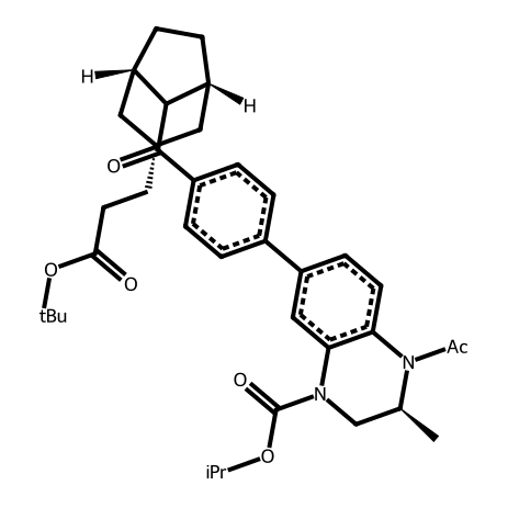 CC(=O)N1c2ccc(-c3ccc(C(=O)C4[C@@H]5CC[C@H]4C[C@@H](CCC(=O)OC(C)(C)C)C5)cc3)cc2N(C(=O)OC(C)C)C[C@@H]1C